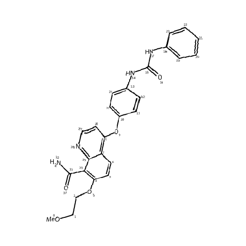 COCCOc1ccc2c(Oc3ccc(NC(=O)Nc4ccccc4)cc3)ccnc2c1C(N)=O